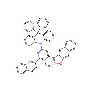 c1ccc(C2(c3ccccc3)c3ccccc3N(c3cc4c(ccc5oc6cc7ccccc7cc6c54)c(-c4ccc5ccccc5c4)n3)c3ccccc32)cc1